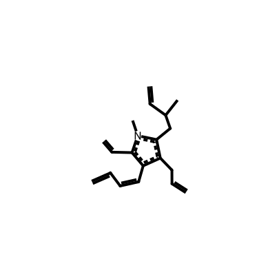 C=C/C=C\c1c(CC=C)c(CC(C)C=C)n(C)c1C=C